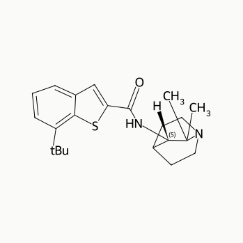 CC(C)(C)c1cccc2cc(C(=O)N[C@H]3C4CCN(CC4)C3(C)C)sc12